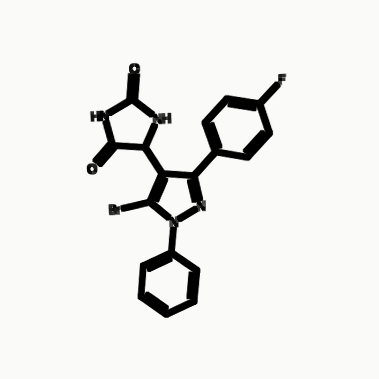 O=C1NC(=O)C(c2c(-c3ccc(F)cc3)nn(-c3ccccc3)c2Br)N1